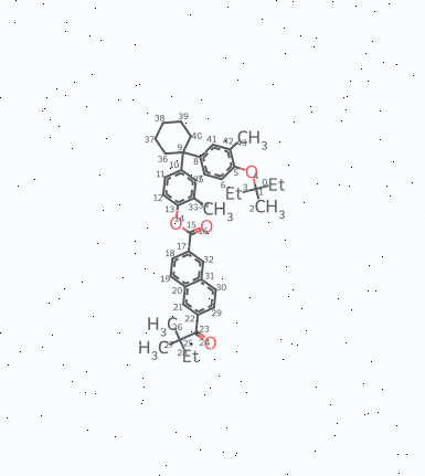 CCC(C)(CC)Oc1ccc(C2(c3ccc(OC(=O)c4ccc5cc(C(=O)C(C)(C)CC)ccc5c4)c(C)c3)CCCCC2)cc1C